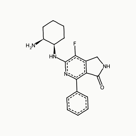 N[C@H]1CCCC[C@H]1Nc1nc(-c2ccccc2)c2c(c1F)CNC2=O